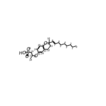 CCCCCCCC=CC1(C)CCc2cc(OC(C)CS(=O)(=O)O)ccc2O1